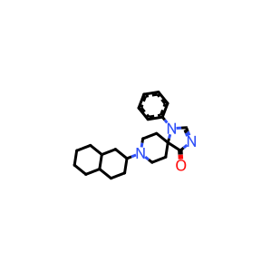 O=C1N=CN(c2ccccc2)C12CCN(C1CCC3CCCCC3C1)CC2